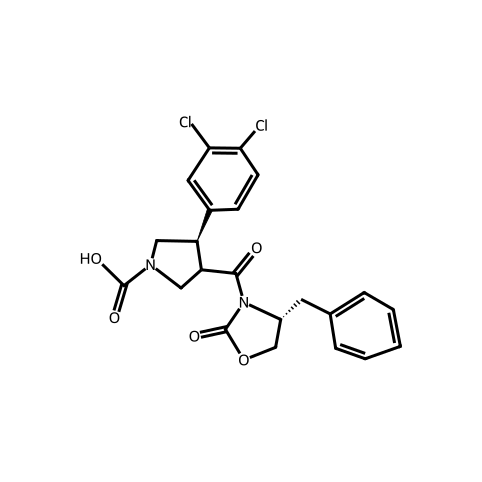 O=C(O)N1CC(C(=O)N2C(=O)OC[C@H]2Cc2ccccc2)[C@H](c2ccc(Cl)c(Cl)c2)C1